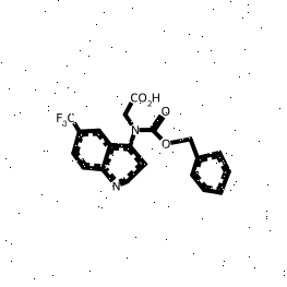 O=C(O)CN(C(=O)OCc1ccccc1)c1ccnc2ccc(C(F)(F)F)cc12